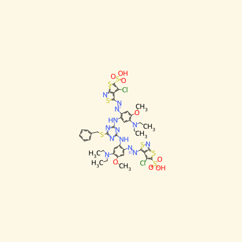 CCN(CC)c1cc(Nc2nc(Nc3cc(N(CC)CC)c(OC)cc3/N=N/c3snc4sc(S(=O)(=O)O)c(Cl)c34)nc(SCc3ccccc3)n2)c(/N=N/c2snc3sc(S(=O)(=O)O)c(Cl)c23)cc1OC